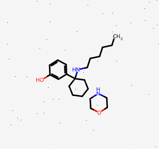 C1COCCN1.CCCCCCNC1(c2cccc(O)c2)CCCCC1